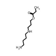 CCC(=O)OCCCNCCCCN